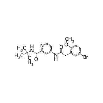 COc1ccc(Br)cc1CC(=O)Nc1ccnc(C(=O)NC(C)(C)C)c1